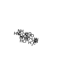 Cl.Cn1nnnc1SCC1=C(C(=O)O)N2C(=O)C(NC(=O)C(=O)c3c[nH]c(=N)s3)[C@@H]2SC1